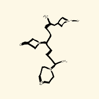 CC(CCC(CCC(C)N1CCOCC1)N1CC(=O)C1)C1C[S+]([O-])C1